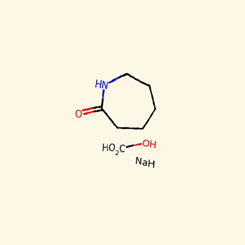 O=C(O)O.O=C1CCCCCN1.[NaH]